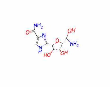 NC(=O)c1c[nH]c([C@@H]2O[C@H](C(N)O)[C@@H](O)[C@H]2O)n1